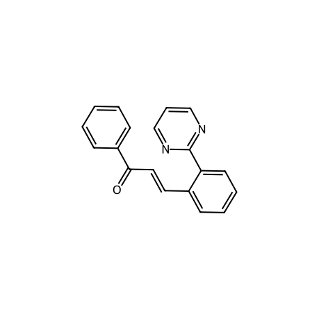 O=C(/C=C/c1ccccc1-c1ncccn1)c1ccccc1